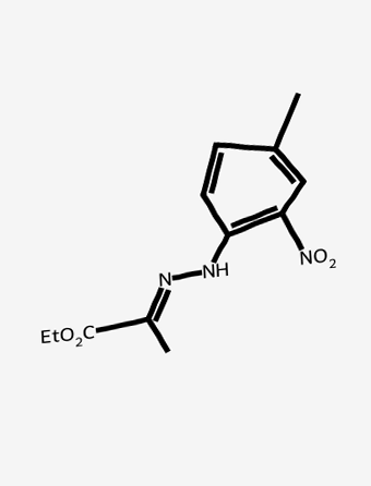 CCOC(=O)C(C)=NNc1ccc(C)cc1[N+](=O)[O-]